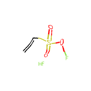 C=CS(=O)(=O)OF.F